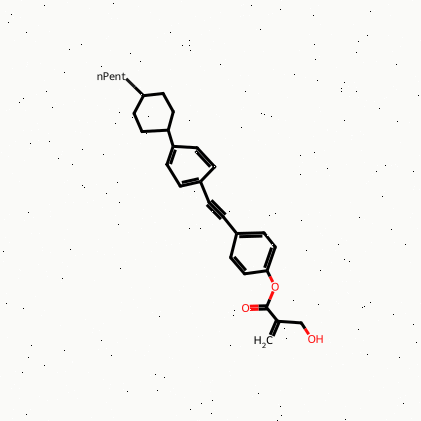 C=C(CO)C(=O)Oc1ccc(C#Cc2ccc(C3CCC(CCCCC)CC3)cc2)cc1